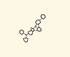 c1ccc(-c2ccc3c(c2)-c2cccc4c2B3c2sc3cc(N(c5ccccc5)c5ccccc5)ccc3c2-4)cc1